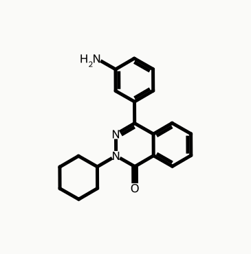 Nc1cccc(-c2nn(C3CCCCC3)c(=O)c3ccccc23)c1